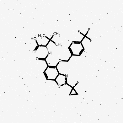 CC(C)(C)[C@H](NC(=O)C1=C(OCc2ccc(C(F)(F)F)cc2)C2N=C(C3(F)CC3)SC2C=C1)C(=O)O